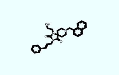 O=C1N(C/C=C/c2ccccc2)C(=O)C2(CCN(Cc3cccc4ccccc34)CC2)N1CCO